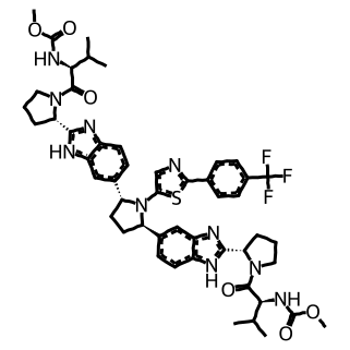 COC(=O)N[C@H](C(=O)N1CCC[C@H]1c1nc2cc([C@H]3CC[C@H](c4ccc5nc([C@@H]6CCCN6C(=O)[C@@H](NC(=O)OC)C(C)C)[nH]c5c4)N3c3cnc(-c4ccc(C(F)(F)F)cc4)s3)ccc2[nH]1)C(C)C